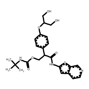 CC(C)(C)NC(=O)OCC(C(=O)Nc1cc2ccncc2s1)c1ccc(OC(CO)CO)cc1